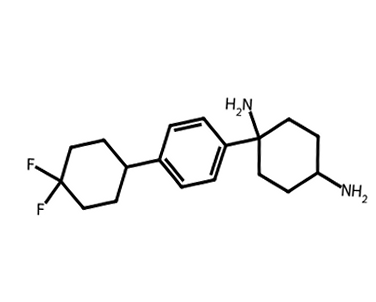 NC1CCC(N)(c2ccc(C3CCC(F)(F)CC3)cc2)CC1